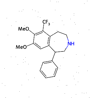 COc1cc2c(c(C(F)(F)F)c1OC)CCNCC2c1ccccc1